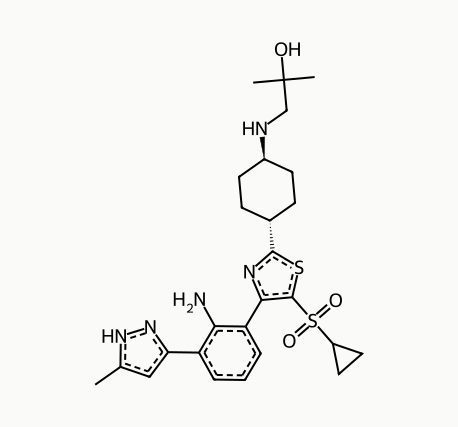 Cc1cc(-c2cccc(-c3nc([C@H]4CC[C@H](NCC(C)(C)O)CC4)sc3S(=O)(=O)C3CC3)c2N)n[nH]1